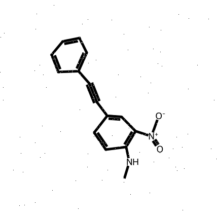 CNc1ccc(C#Cc2ccccc2)cc1[N+](=O)[O-]